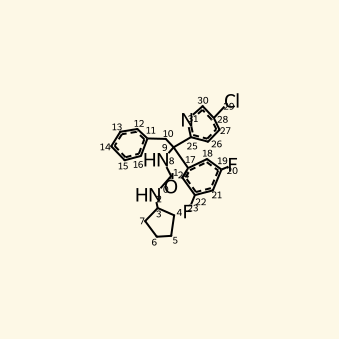 O=C(NC1CCCC1)NC(Cc1ccccc1)(c1cc(F)cc(F)c1)c1ccc(Cl)cn1